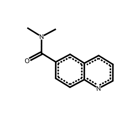 CN(C)C(=O)c1ccc2ncccc2c1